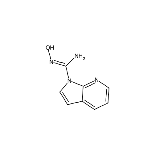 N/C(=N\O)n1ccc2cccnc21